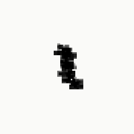 O=P(O)(O)OC[C@H]1O[C@@H](n2cnc3c(NCc4c(O)ccc(Br)c4O)ncnc32)[C@H](O)[C@@H]1O